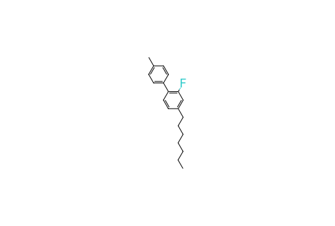 CCCCCCCc1ccc(-c2ccc(C)cc2)c(F)c1